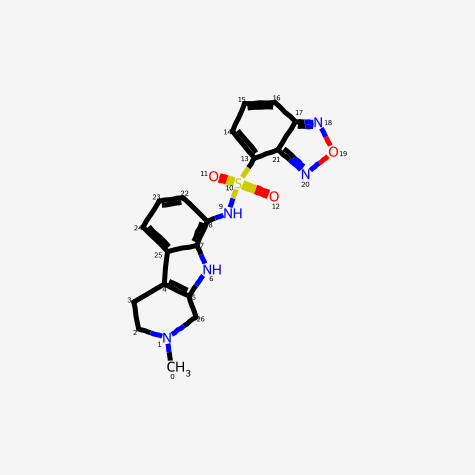 CN1CCc2c([nH]c3c(NS(=O)(=O)c4cccc5nonc45)cccc23)C1